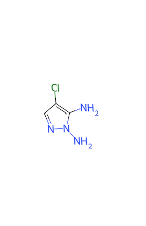 Nc1c(Cl)cnn1N